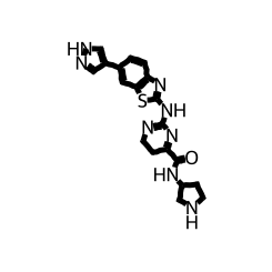 O=C(NC1CCNC1)C1=NC(Nc2nc3ccc(-c4cn[nH]c4)cc3s2)=NCC1